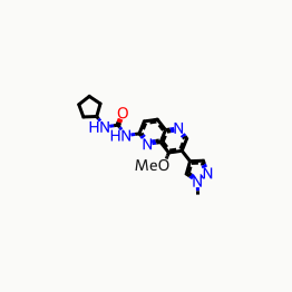 COc1c(-c2cnn(C)c2)cnc2ccc(NC(=O)NC3CCCC3)nc12